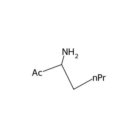 CCCCC(N)C(C)=O